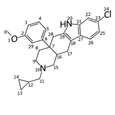 COc1cccc(C23CCN(CC4CC4)CC2Cc2c([nH]c4cc(Cl)ccc24)C3)c1